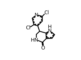 O=C1NCC(c2cc(Cl)ncc2Cl)c2[nH]ccc21